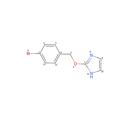 Brc1ccc(COc2n[c]c[nH]2)cc1